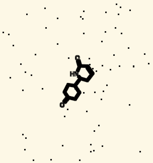 O=C1CCC(C2CC=CC(=O)N2)CC1